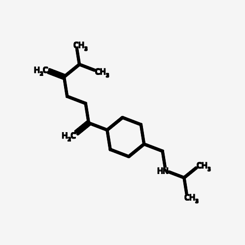 C=C(CCC(=C)C1CCC(CNC(C)C)CC1)C(C)C